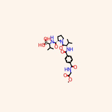 COC(=O)CNC(=O)c1ccc(C(=O)N[C@H](C(=O)N2CCC[C@H]2C(=O)N[C@H](B(O)O)C(C)C)C(C)C)cc1